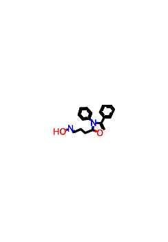 ON=CCCC1OC=C(c2ccccc2)N1c1ccccc1